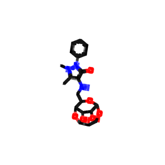 Cc1c(NCC2OC3OCCCOC2C(O)C3O)c(=O)n(-c2ccccc2)n1C